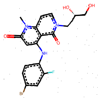 Cn1c(=O)cc(Nc2ccc(Br)cc2F)c2c(=O)n(C[C@H](O)CO)ccc21